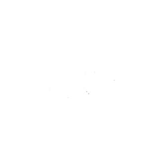 Oc1cnc(C2CCCCC2)cn1